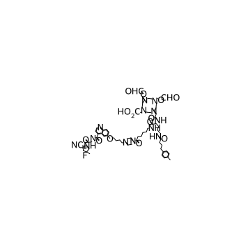 Cc1ccc(CCCC(=O)NCCCC(NC(=O)CN2CCN(COC=O)CCN(COC=O)CCN(CC(=O)O)CC2)C(=O)NCCCCCC(=O)N2CCN(CCCCOc3ccc4nccc(C(=O)NCC(=O)N5CC(C)(F)C[C@@H]5C#N)c4c3)CC2)cc1